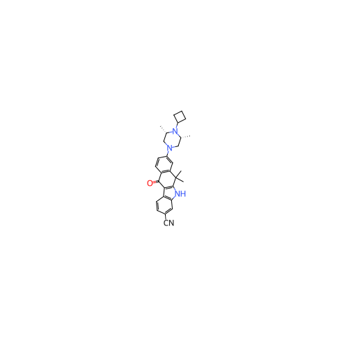 C[C@@H]1CN(c2ccc3c(c2)C(C)(C)c2[nH]c4cc(C#N)ccc4c2C3=O)C[C@H](C)N1C1CCC1